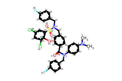 CN(C)c1ccc(N(Cc2ccc(F)cc2)C(=O)c2ccc(CN(Cc3ccc(F)cc3)S(=O)(=O)c3cc(Cl)cc(Cl)c3O)cc2)cc1